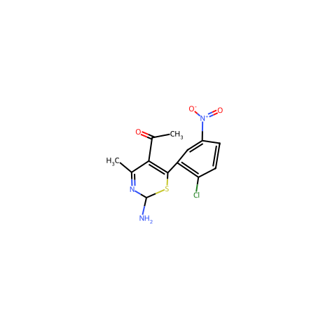 CC(=O)C1=C(c2cc([N+](=O)[O-])ccc2Cl)SC(N)N=C1C